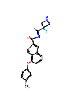 C/C(=N\C(=O)c1ccc2c(Oc3ccc(C(F)(F)F)cc3)cccc2c1)C1(F)CNC1